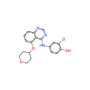 Oc1ccc(Nc2ncnc3cccc(OC4CCOCC4)c23)cc1Cl